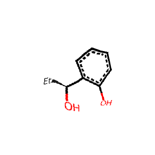 CC[C@H](O)c1ccccc1O